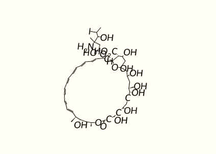 CC(I)C(O)C(C)(N)CC(O)O[C@H]1/C=C/C=C/C=C/C=C/C=C/C=C/C=C/[C@H](C)[C@@H](O)[C@@H](C)[C@H](C)OC(=O)C[C@H](O)C[C@H](O)CC[C@@H](O)[C@H](O)C[C@H](O)C[C@]2(O)C[C@H](O)[C@@H](C(=O)O)[C@H](C1)O2